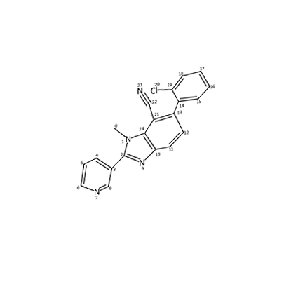 Cn1c(-c2cccnc2)nc2ccc(-c3ccccc3Cl)c(C#N)c21